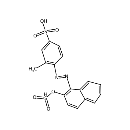 Cc1cc(S(=O)(=O)O)ccc1N=Nc1c(O[SH](=O)=O)ccc2ccccc12